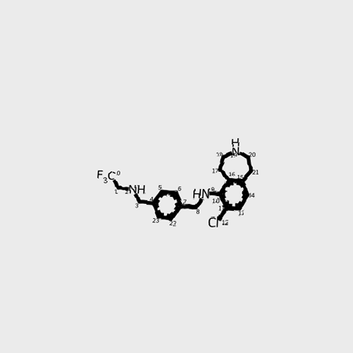 FC(F)(F)CNCc1ccc(CNc2c(Cl)ccc3c2CCNCC3)cc1